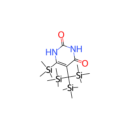 C[Si](C)(C)c1[nH]c(=O)[nH]c(=O)c1C([Si](C)(C)C)([Si](C)(C)C)[Si](C)(C)C